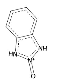 O=[n+]1[nH]c2ccccc2[nH]1